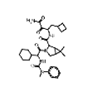 CN(C(=O)NC(C(=O)N1CC2C(C1C(=O)NC(CC1CCC1)C(=O)C(N)=O)C2(C)C)C1CCCCC1)c1ccccc1